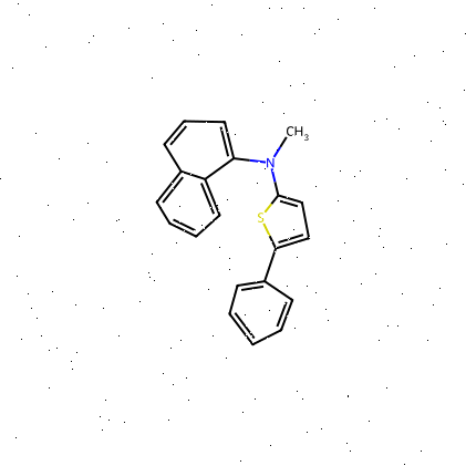 CN(c1ccc(-c2ccccc2)s1)c1cccc2ccccc12